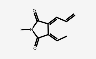 C=C/C=C1/C(=O)N(I)C(=O)/C1=C/C